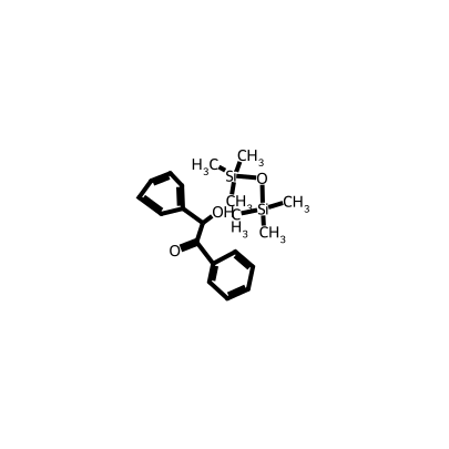 C[Si](C)(C)O[Si](C)(C)C.O=C(c1ccccc1)C(O)c1ccccc1